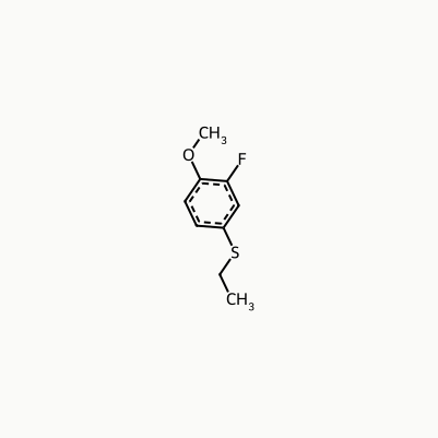 CCSc1ccc(OC)c(F)c1